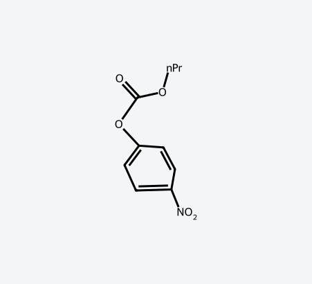 [CH2]CCOC(=O)Oc1ccc([N+](=O)[O-])cc1